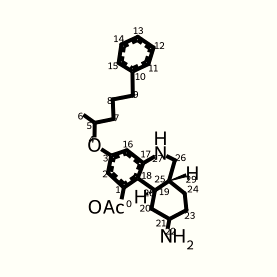 CC(=O)Oc1cc(OC(C)CCCc2ccccc2)cc2c1[C@@H]1CC(N)CC[C@H]1CN2